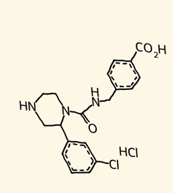 Cl.O=C(O)c1ccc(CNC(=O)N2CCNCC2c2cccc(Cl)c2)cc1